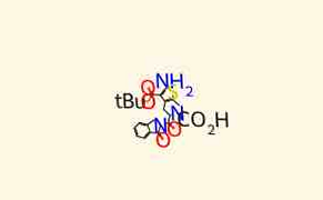 CC(C)(C)OC(=O)c1c(N)sc2c1CC(C(=O)N1Cc3ccccc3C1=O)N(C(=O)O)C2